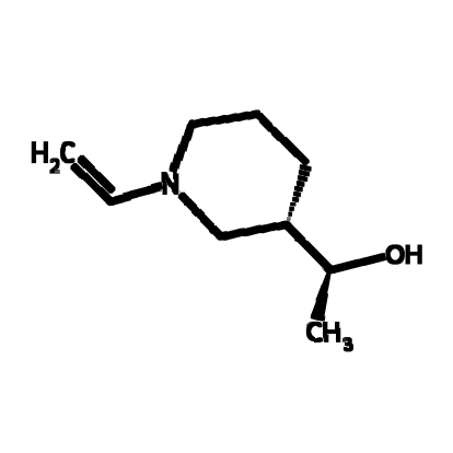 C=CN1CCC[C@H]([C@H](C)O)C1